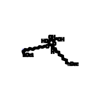 CCCCCCCC/C=C\CCCCCCCCO[C@@H]1[C@@H](O)[C@H](O)[C@@H](CO)O[C@H]1NCCCCCCCCCCCCCCCCCC